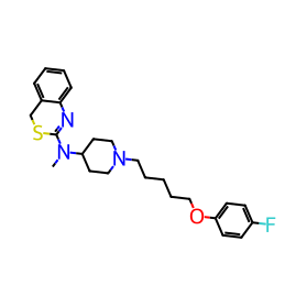 CN(C1=Nc2ccccc2CS1)C1CCN(CCCCCOc2ccc(F)cc2)CC1